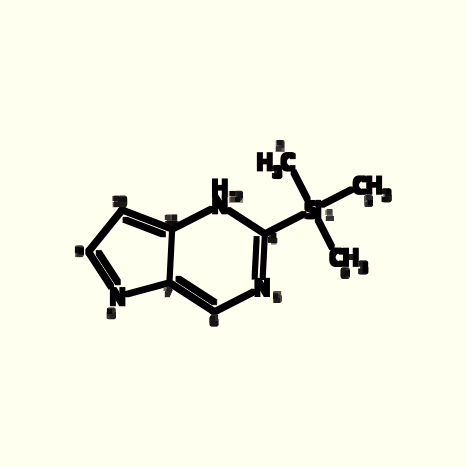 C[Si](C)(C)c1ncc2nccc-2[nH]1